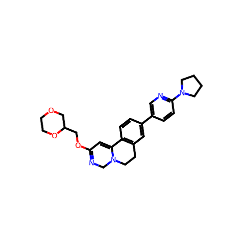 C1=C2c3ccc(-c4ccc(N5CCCC5)nc4)cc3CCN2CN=C1OCC1COCCO1